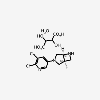 Clc1cc(N2C[C@@H]3CN[C@@H]3C2)cnc1Cl.O.O=C(O)C(O)C(O)C(=O)O